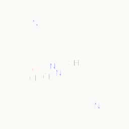 COC(C)(N=NC(C)c1ccc(C#N)cc1)c1ccc(C#N)cc1